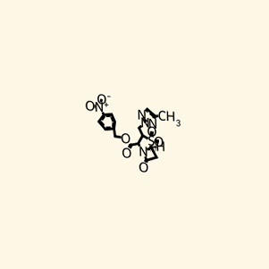 Cc1cnn(CC2C(C(=O)OCc3ccc([N+](=O)[O-])cc3)N3C(=O)C[C@H]3S2(=O)=O)n1